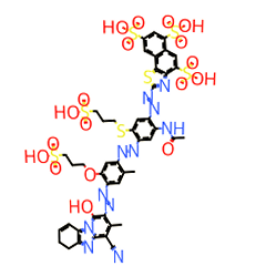 CC(=O)Nc1cc(N=Nc2cc(OCCCS(=O)(=O)O)c(N=Nc3c(C)c(C#N)c4nc5c(n4c3O)C=CCC5)cc2C)c(SCCCS(=O)(=O)O)cc1N=Nc1nc2c(S(=O)(=O)O)cc3c(S(=O)(=O)O)cc(S(=O)(=O)O)cc3c2s1